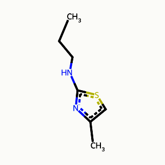 CCCNc1nc(C)cs1